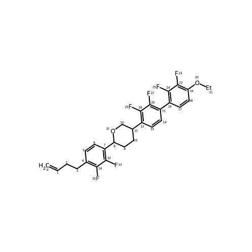 C=CCCc1ccc(C2CCC(c3ccc(-c4ccc(OCC)c(F)c4F)c(F)c3F)CO2)c(F)c1F